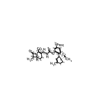 C=C(C)[C@@H]1CCC(C)=C[C@H]1c1ccc(CCCCC)cc1OC(=S)NCC1=C(C(=O)O)N2C(=O)C(C)[C@H]2CC1